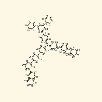 c1ccc(-c2cc(-c3ccccc3)cc(-c3ccc(N(c4ccc(-c5ccc(-c6cccc(-c7ccc8ccccc8c7)c6)cc5)cc4)c4ccc(-c5ccc6c(c5)oc5ccccc56)cc4)cc3)c2)cc1